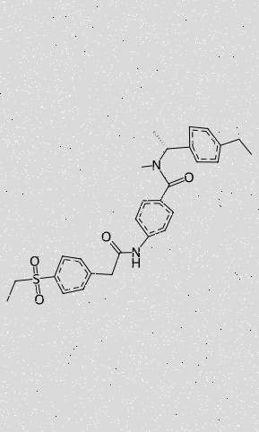 CCc1ccc([C@@H](C)N(C)C(=O)c2ccc(NC(=O)Cc3ccc(S(=O)(=O)CC)cc3)cc2)cc1